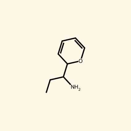 CCC(N)C1C=CC=CO1